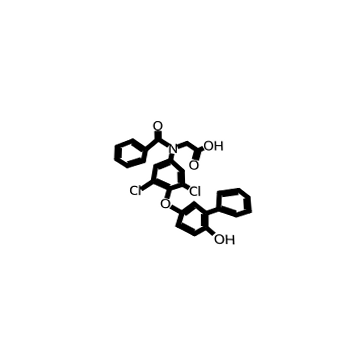 O=C(O)CN(C(=O)c1ccccc1)c1cc(Cl)c(Oc2ccc(O)c(-c3ccccc3)c2)c(Cl)c1